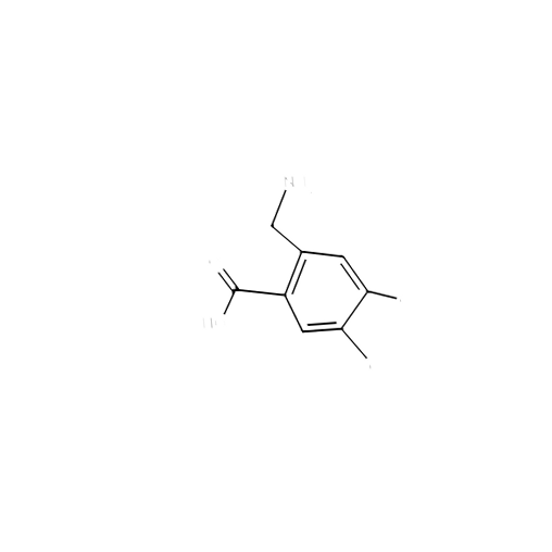 NCc1cc(Cl)c(Cl)cc1C(=O)O